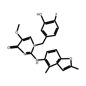 COc1cn(Cc2ccc(F)c(O)c2)c(Nc2ccc3oc(C)cc3c2C)nc1=O